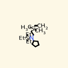 C=C[Si](C)(C)CCN(C1CCCC1)[Si](CC)(CC)CC